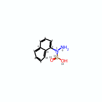 NN(c1cccc2ccccc12)S(=O)O